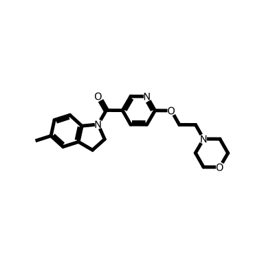 Cc1ccc2c(c1)CCN2C(=O)c1ccc(OCCN2CCOCC2)nc1